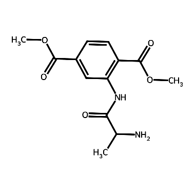 COC(=O)c1ccc(C(=O)OC)c(NC(=O)C(C)N)c1